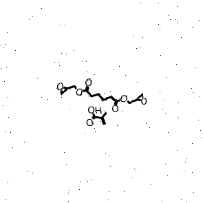 C=C(C)C(=O)O.O=C(CCCCC(=O)OCC1CO1)OCC1CO1